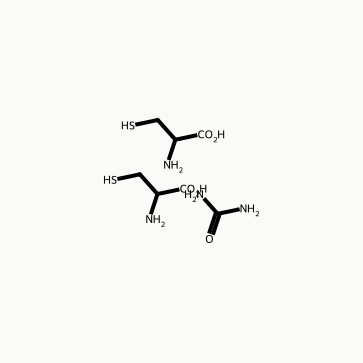 NC(CS)C(=O)O.NC(CS)C(=O)O.NC(N)=O